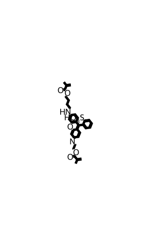 C=C(C)C(=O)OCCCCNc1ccc2c(-c3ccccc3S(=O)(=O)O)c3cc/c(=N\CCOC(=O)C(=C)C)cc-3oc2c1